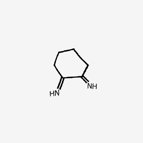 N=C1CCCCC1=N